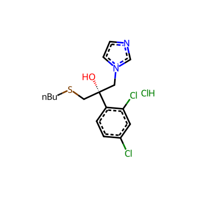 CCCCSC[C@@](O)(Cn1ccnc1)c1ccc(Cl)cc1Cl.Cl